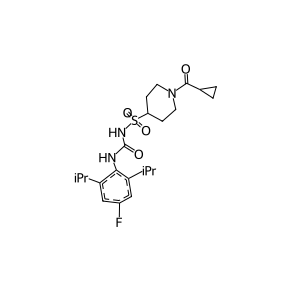 CC(C)c1cc(F)cc(C(C)C)c1NC(=O)NS(=O)(=O)C1CCN(C(=O)C2CC2)CC1